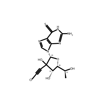 C[C@H](O)[C@H]1O[C@@H](n2cnc3c(=S)[nH]c(N)nc32)C(O)(C#CCl)[C@H]1O